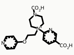 O=C(O)c1ccc([N+]2(CCOc3ccncc3)CCN(C(=O)O)CC2)nc1